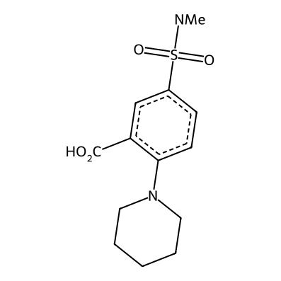 CNS(=O)(=O)c1ccc(N2CCCCC2)c(C(=O)O)c1